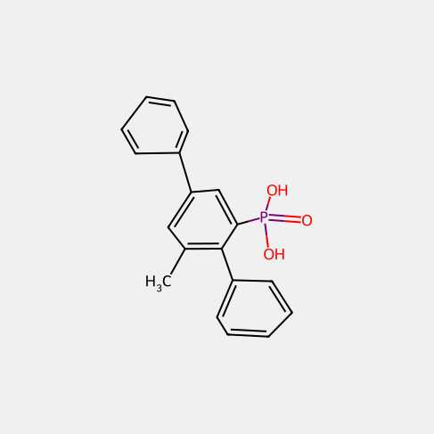 Cc1cc(-c2ccccc2)cc(P(=O)(O)O)c1-c1ccccc1